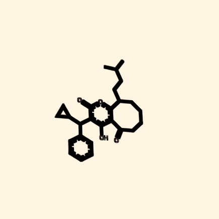 CC(C)CCC1CCCCC(=O)c2c1oc(=O)c(C(c1ccccc1)C1CC1)c2O